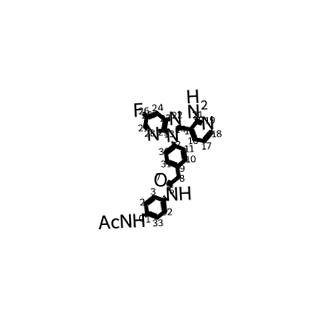 CC(=O)Nc1ccc(NC(=O)Cc2ccc(-n3c(-c4cccnc4N)nc4cc(F)cnc43)cc2)cc1